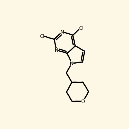 Clc1nc(Cl)c2ccn(CC3CCOCC3)c2n1